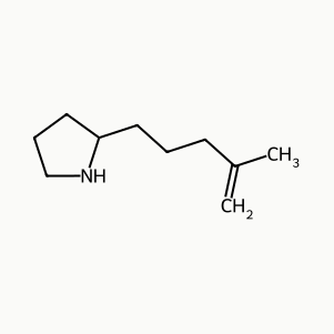 C=C(C)CCCC1CCCN1